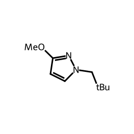 COc1ccn(CC(C)(C)C)n1